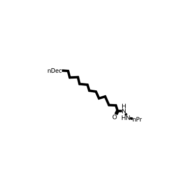 CCCCCCCCCCCCCCCCCCCCCC(=O)NNCCC